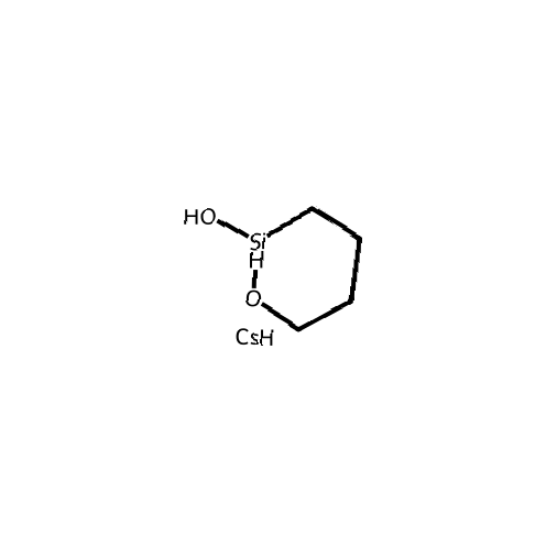 O[SiH]1CCCCO1.[CsH]